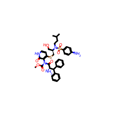 COC(=O)N(C(=O)[C@@H](N)C(c1ccccc1)c1ccccc1)c1c(SC[C@@H](CO)N(CCC(C)C)S(=O)(=O)c2ccc(N)cc2)cc[nH]c1=O